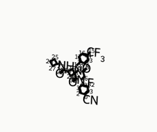 N#Cc1ccc(N2CC(=O)N(Cc3ccc(C(F)(F)F)cc3)C3(CC(C(=O)NC4CCC4)C3)C2=O)c(F)c1